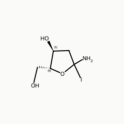 NC1(I)C[C@H](O)[C@@H](CO)O1